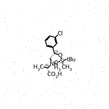 C[C@H](NC[C@@H](O[Si](C)(C)C(C)(C)C)c1cccc(Cl)c1)C(=O)O